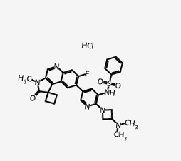 CN1C(=O)C2(CCC2)c2c1cnc1cc(F)c(-c3cnc(N4CC(N(C)C)C4)c(NS(=O)(=O)c4ccccc4)c3)cc21.Cl